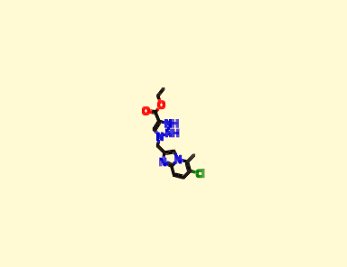 CCOC(=O)C1=CN(Cc2cn3c(C)c(Cl)ccc3n2)NN1